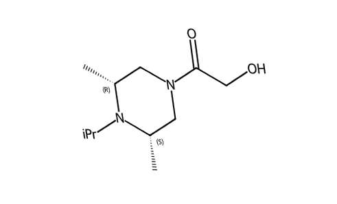 CC(C)N1[C@H](C)CN(C(=O)CO)C[C@@H]1C